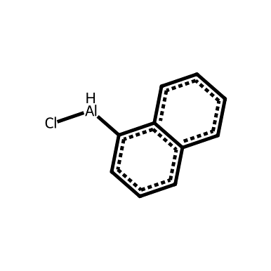 [Cl][AlH][c]1cccc2ccccc12